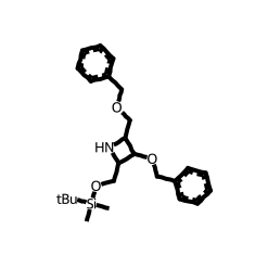 CC(C)(C)[Si](C)(C)OCC1NC(COCc2ccccc2)C1OCc1ccccc1